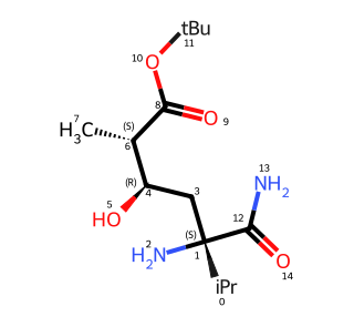 CC(C)[C@@](N)(C[C@@H](O)[C@H](C)C(=O)OC(C)(C)C)C(N)=O